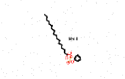 CCCCCCCCCCCCCCCCCC(=O)OS(=O)(=O)Oc1ccccc1.[NaH]